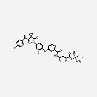 CC(CNC(=O)OC(C)(C)C)NC(=O)c1cc(Oc2ccc(NC(=O)C3(C(=O)Nc4ccc(F)cc4)CC3)cc2F)ccn1